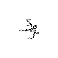 CCCCCCCCCCCCOCC(O)COc1nnnc(OCC(O)COCCCCCCCCCCCC)c1OCC(O)COCCCCCCCCCCCC